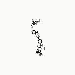 CC(C)(C)c1cc(NC(=O)Nc2ccc(-c3cn4c(n3)sc3cc(OCCNCC(=O)O)ccc34)cc2)no1